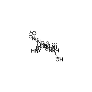 CC[C@@](C)(O)CCCCNc1ncc(S(=O)(=O)NC(=O)c2ccc(N3CCC4(CC3)CN([C@@H]3CCC[C@@H]3c3ccccc3C(C)C)C4)cc2Oc2cc3cc[nH]c3nc2OC)cc1[N+](=O)[O-]